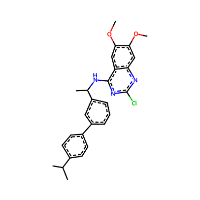 COc1cc2nc(Cl)nc(NC(C)c3cccc(-c4ccc(C(C)C)cc4)c3)c2cc1OC